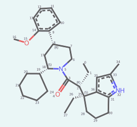 CC[C@@H](C(=O)N1CC[C@@H](c2ccccc2OC)C[C@H]1C1CCCCC1)[C@]1(CC)CCCc2[nH]c(C)cc21